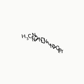 Cc1ncc(N2CCN(CCN3CC(OC(C)C)C3)CC2)cn1